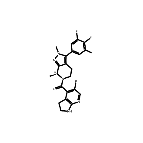 C[C@H]1c2nn(C)c(-c3cc(F)c(F)c(F)c3)c2CCN1C(=O)c1c(F)cnc2c1CCN2